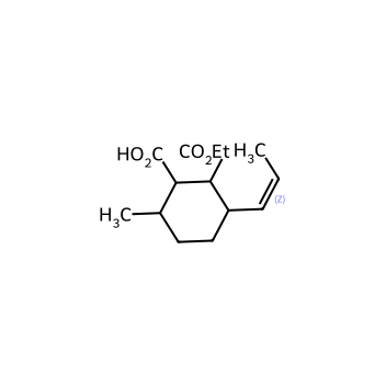 C/C=C\C1CCC(C)C(C(=O)O)C1C(=O)OCC